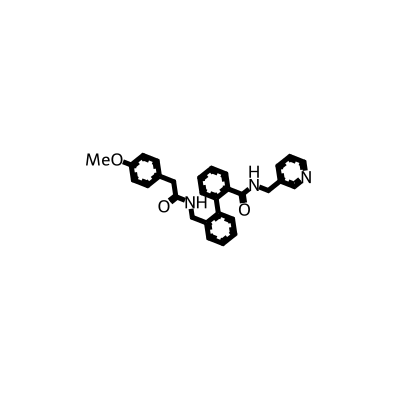 COc1ccc(CC(=O)NCc2ccccc2-c2ccccc2C(=O)NCc2cccnc2)cc1